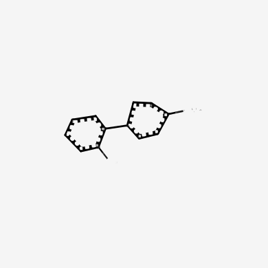 COc1ccc(-c2ccccc2C(C)(C)C)cc1